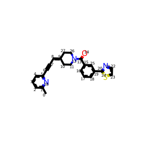 Cc1cccc(C#CC=C2CCN(C(=O)c3cccc(-c4nccs4)c3)CC2)n1